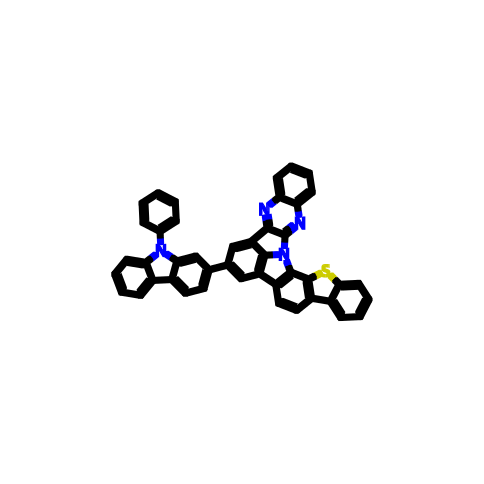 c1ccc(-n2c3ccccc3c3ccc(-c4cc5c6ccc7c8ccccc8sc7c6n6c7nc8ccccc8nc7c(c4)c56)cc32)cc1